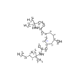 CSCCC(C)(C)NC(=O)OC1/C=C/C(OC(=O)NC(C)(C)C)CCC(O)C1